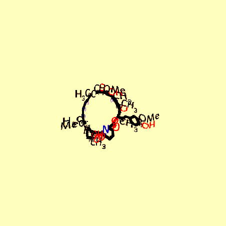 CO[C@H]1C[C@@H]2CC[C@@H](C)[C@@](O)(C2)C(=O)C(=O)N2CCCCC2C(=O)OC([C@H](C)CC2CC[C@@H](O)[C@H](OC)C2)CC(=O)[C@H](C)/C=C(\C)C(O)[C@@H](OC)C(=O)[C@H](C)C[C@H](C)/C=C/C=C/C=C/1C